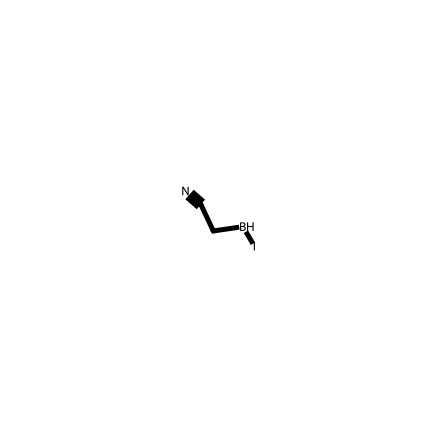 N#CCBI